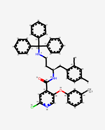 Cc1ccc(C[C@H](CCNC(c2ccccc2)(c2ccccc2)c2ccccc2)NC(=O)c2cc(Cl)ncc2Oc2cccc(C(F)(F)F)c2)c(C)c1